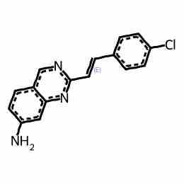 Nc1ccc2cnc(/C=C/c3ccc(Cl)cc3)nc2c1